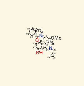 COC1C[C@@H](N(CC(C)C)C(=O)c2ccccc2)C[C@]2(c3cccc(O)c3)CCN(CC3CC3)C[C@@H]12